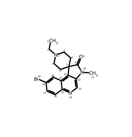 CCN1CCC2(CC1)C(=O)N(C)c1cnc3ccc(Br)cc3c12